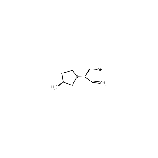 C=C[C@H](CO)N1CC[C@H](C)C1